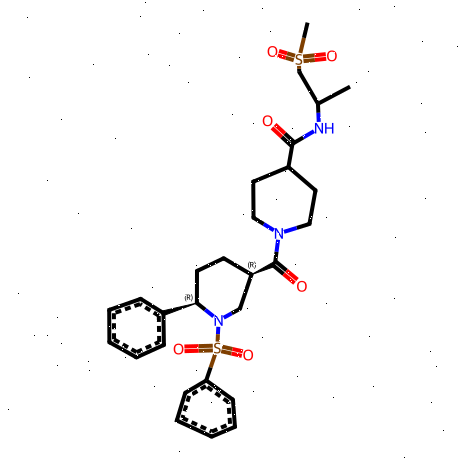 CC(CS(C)(=O)=O)NC(=O)C1CCN(C(=O)[C@@H]2CC[C@H](c3ccccc3)N(S(=O)(=O)c3ccccc3)C2)CC1